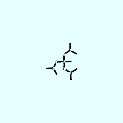 CN(C)O[Si](C)(ON(C)C)ON(C)C